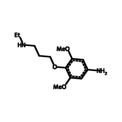 CCNCCCOc1c(OC)cc(N)cc1OC